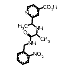 CC(NC(C)c1cc(C(=O)O)ccn1)C(=O)NCc1ccccc1[N+](=O)[O-]